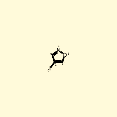 Ic1[c]onc1